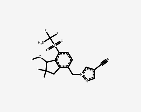 BC(F)(F)S(=O)(=O)c1ccc(Cn2cc(C#N)cn2)c2c1C(OI)C(F)(F)C2